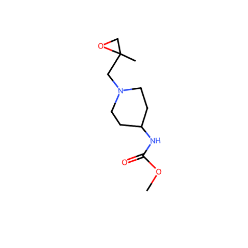 COC(=O)NC1CCN(CC2(C)CO2)CC1